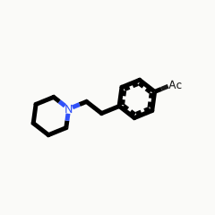 CC(=O)c1ccc(CCN2CCCCC2)cc1